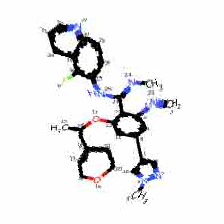 C=Nc1cc(-c2cnn(C)c2)cc(OC(C)C2CCOCC2)c1/C(=N\C)Nc1ccc2ncccc2c1F